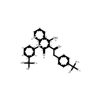 O=C(Cc1ccc(C(F)(F)F)cc1)c1c(O)c2cccnc2n(-c2cccc(C(F)(F)F)c2)c1=O